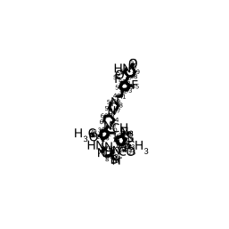 CCc1cc(Nc2ncc(Br)c(Nc3ccc4ncsc4c3P(C)(C)=O)n2)c(OC)cc1N1CCC(N2CCN(CCc3cc(F)c(C4CCC(=O)NC4=O)c(F)c3)CC2)CC1